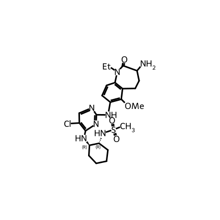 CCN1C(=O)C(N)CCc2c1ccc(Nc1ncc(Cl)c(N[C@@H]3CCCC[C@H]3NS(C)(=O)=O)n1)c2OC